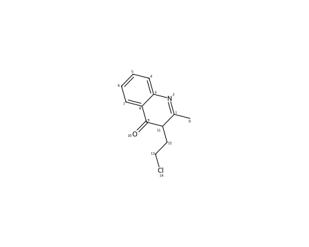 CC1=Nc2ccccc2C(=O)C1CCCl